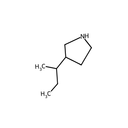 CCC(C)C1CCNC1